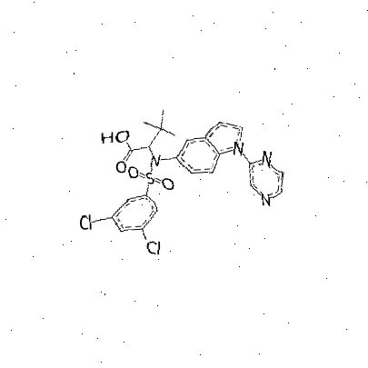 CC(C)(C)C(C(=O)O)N(c1ccc2c(ccn2-c2cnccn2)c1)S(=O)(=O)c1cc(Cl)cc(Cl)c1